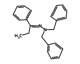 CC/C(=N\N(Cc1ccccc1)Cc1ccccc1)c1ccccc1